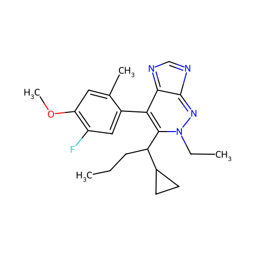 CCCC(c1c(-c2cc(F)c(OC)cc2C)c2ncnc-2nn1CC)C1CC1